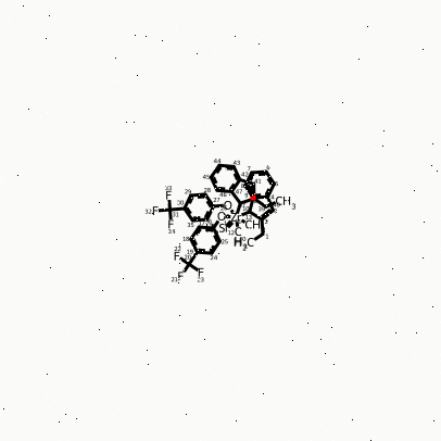 CCC1=Cc2ccccc2[CH]1[Zr]([CH3])([CH3])(=[SiH2])([O]c1ccc(C(F)(F)F)cc1)([O]c1ccc(C(F)(F)F)cc1)[CH]1C(CC)=Cc2ccccc21